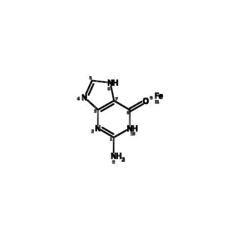 Nc1nc2nc[nH]c2c(=O)[nH]1.[Fe]